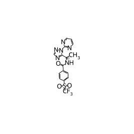 C[C@@H](NC(=O)c1ccc(S(=O)(=O)C(F)(F)F)cc1)c1ncnn1-c1ncccn1